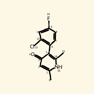 Cc1cc(=O)c(-c2ccc(F)cc2Cl)c(C)[nH]1